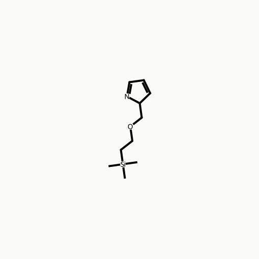 C[Si](C)(C)CCOCC1C=CC=N1